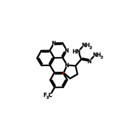 N/N=C(\NN)C1CCCN1c1ncnc2cccc(-c3cccc(C(F)(F)F)c3)c12